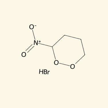 Br.O=[N+]([O-])C1CCCOO1